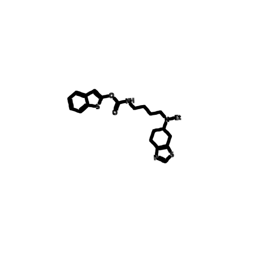 CCN(CCCCNC(=O)Oc1cc2ccccc2s1)C1CCc2ncsc2C1